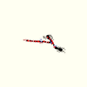 C/C(=C\c1ccc(C[C@H](CCCCNC(=O)c2ccc(/C=C(\C)c3ccc4c(c3)C(C)(C)CCC4(C)C)cc2)C(=O)NCCCOCCOCCOCCCN[C@@H](O)CCOCCOCCOCCOCCOCCCO)cc1)c1ccc2c(c1)C(C)(C)CCC2(C)C